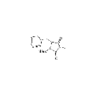 CCCCCCN1C(=O)N(C)C(=O)C1Cc1ccccc1